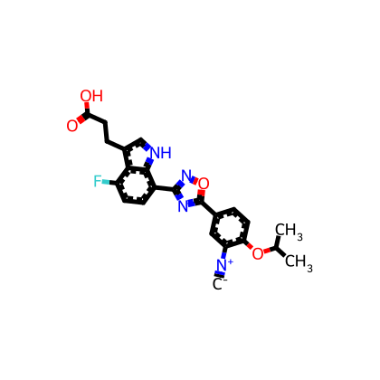 [C-]#[N+]c1cc(-c2nc(-c3ccc(F)c4c(CCC(=O)O)c[nH]c34)no2)ccc1OC(C)C